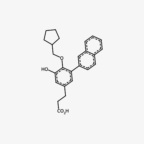 O=C(O)CCc1cc(O)c(OCC2CCCC2)c(-c2ccc3ccccc3c2)c1